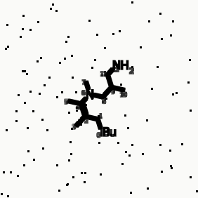 CCC(C)C/C(C)=C(/C)N(C)CC(C)CN